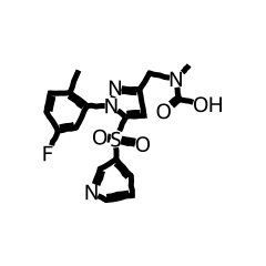 Cc1ccc(F)cc1-n1nc(CN(C)C(=O)O)cc1S(=O)(=O)c1cccnc1